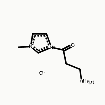 CCCCCCCCCC(=O)[n+]1ccn(C)c1.[Cl-]